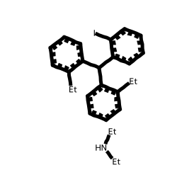 CCNCC.CCc1ccccc1C(c1ccccc1I)c1ccccc1CC